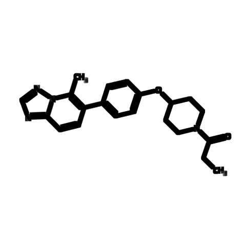 CCC(=O)N1CCC(Oc2ccc(-c3ccc4ncnn4c3C)cc2)CC1